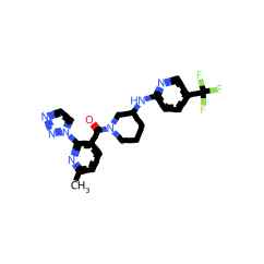 Cc1ccc(C(=O)N2CCCC(Nc3ccc(C(F)(F)F)cn3)C2)c(-n2ccnn2)n1